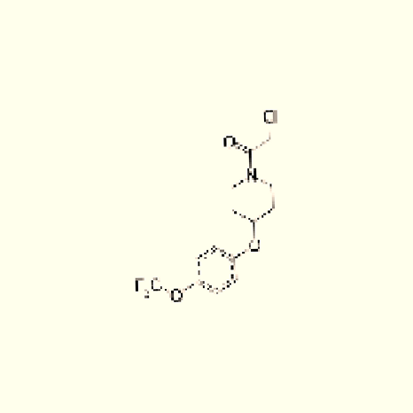 O=C(CCl)N1CCC(Oc2ccc(OC(F)(F)F)cc2)CC1